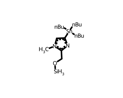 CCC[CH2][Sn]([CH2]CCC)([CH2]CCC)[c]1cn(C)c(CO[SiH3])n1